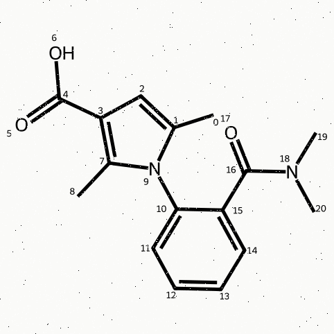 Cc1cc(C(=O)O)c(C)n1-c1ccccc1C(=O)N(C)C